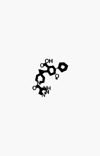 COC1CC(C2CC23CCN(C(=O)c2cnn[nH]2)CC3)C(C(=O)O)C[C@@H]1c1ccccc1